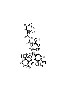 COC(OC)(c1ccccc1F)c1cc(Cl)ccc1N(C)C(=O)CN(CCCN1CCOCC1)C(=O)O